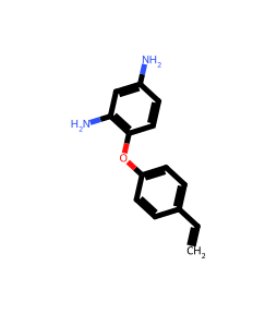 C=Cc1ccc(Oc2ccc(N)cc2N)cc1